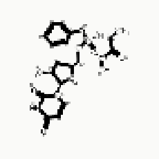 CC(C)OC(=O)[C@H](C)N[P@](=S)(OC[C@@H]1C[C@H](C)[C@H](n2ccc(=O)[nH]c2=O)O1)Oc1ccccc1